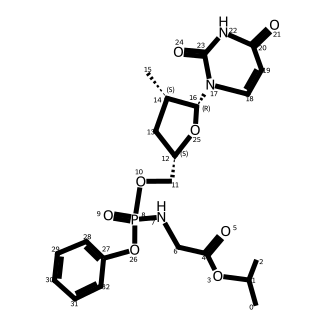 CC(C)OC(=O)CNP(=O)(OC[C@@H]1C[C@H](C)[C@H](n2ccc(=O)[nH]c2=O)O1)Oc1ccccc1